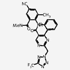 CNC(=O)c1cc(C#N)cc(C)c1NC(=O)c1cnc(Cn2nnc(C(F)(F)F)n2)nc1-c1ccccc1Cl